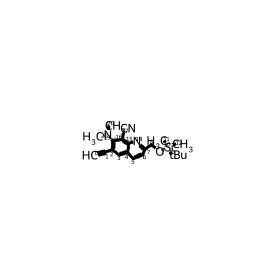 C#Cc1cc2ccc(CO[Si](C)(C)C(C)(C)C)nc2c(C#N)c1N(C)C